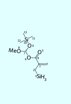 C=C(C[SiH3])C(=O)O[C](OC)O[Si](C)(C)C